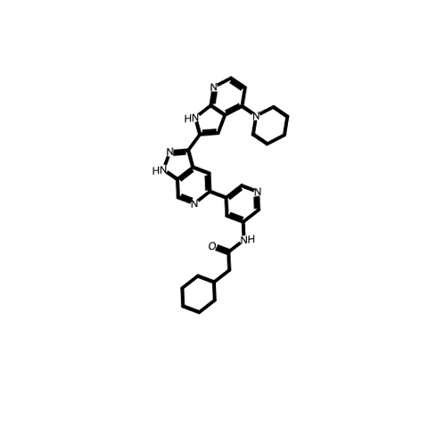 O=C(CC1CCCCC1)Nc1cncc(-c2cc3c(-c4cc5c(N6CCCCC6)ccnc5[nH]4)n[nH]c3cn2)c1